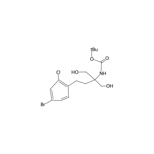 CC(C)(C)OC(=O)NC(CO)(CO)CCc1ccc(Br)cc1Cl